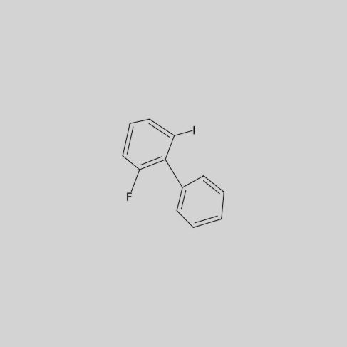 Fc1cccc(I)c1-c1ccccc1